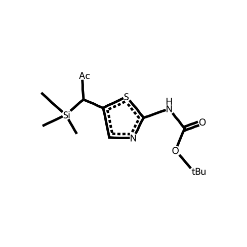 CC(=O)C(c1cnc(NC(=O)OC(C)(C)C)s1)[Si](C)(C)C